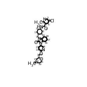 Cc1ncc(Cl)cc1C(=O)N[C@H]1CC[C@H](Cn2c(=O)n(-c3ccc(OC[C@@H]4CN(C)CCO4)nc3)c3ccccc32)CC1